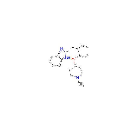 CN1CCC(Oc2ccccc2Cc2nc3cc(F)ccc3[nH]2)CC1